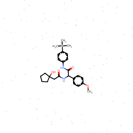 COc1ccc(C(NC(=O)CC2(O)CCCC2)C(=O)Nc2ccc([Si](C)(C)C)cc2)cc1